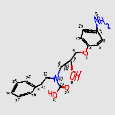 Nc1ccc(OC[C@@H](O)CN(CCc2ccccc2)C(=O)O)cc1